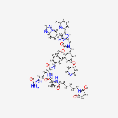 Cc1cccc(-c2nc(CN(Cc3cccc(Oc4ccncc4)c3)C(=O)OCc3ccc(NC(=O)C(CCCNC(N)=O)NC(=O)[C@@H](NC(=O)CCCCCN4C(=O)C=CC4=O)C(C)C)cc3)[nH]c2-c2ccc3ncnn3c2)n1